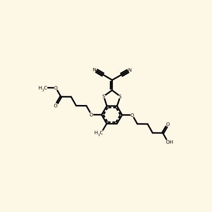 COC(=O)CCCOc1c(C)cc(OCCCC(=O)O)c2c1SC(=C(C#N)C#N)S2